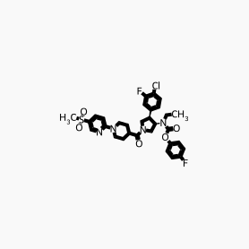 CCN(C(=O)Oc1ccc(F)cc1)[C@@H]1CN(C(=O)C2CCN(c3ccc(S(C)(=O)=O)cn3)CC2)C[C@H]1c1ccc(Cl)c(F)c1